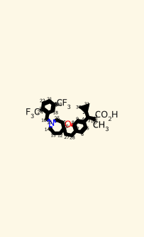 C[C@H](C(=O)O)C(c1ccc2c(c1)OC1(CCCN(Cc3cc(C(F)(F)F)ccc3C(F)(F)F)CC1)CC2)C1CC1